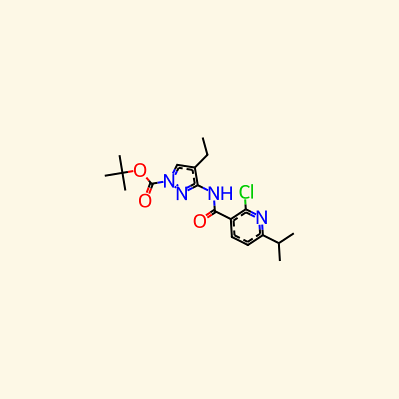 CCc1cn(C(=O)OC(C)(C)C)nc1NC(=O)c1ccc(C(C)C)nc1Cl